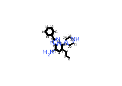 CCCc1cc(N)c2nc(-c3ccccc3)nn2c1N1CCNCC1